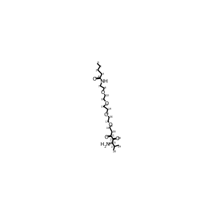 CCCCC(=O)NCCOCCOCCOCCOCCC(=O)C(=O)[C@@H](N)C(C)C